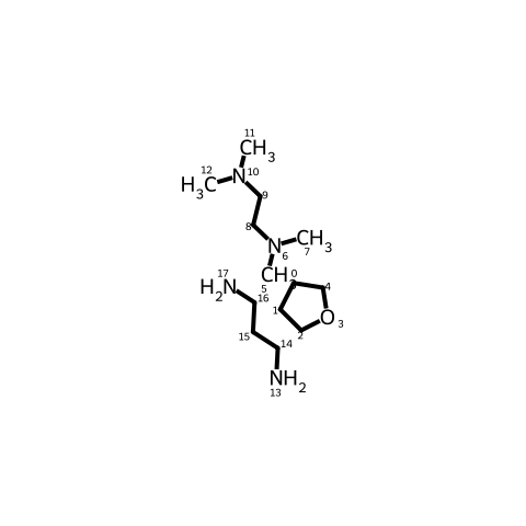 C1CCOC1.CN(C)CCN(C)C.NCCCN